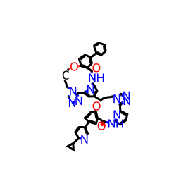 O=C1Nc2cc(C3CCn4cnnc4-c4cccc(n4)NC(=O)c4cc(-c5ccc(C6CC6)nc5)ccc4O3)cc(n2)-c2nncn2CCCCOc2ccc(-c3ccccc3)cc21